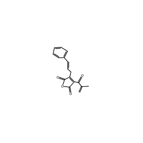 C=C(C)C(=O)C1=C(CC=Cc2ccccc2)C(=O)OC1=O